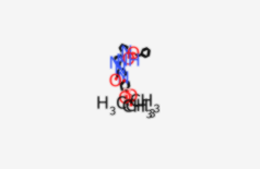 CC1(C)OB(c2ccc(N3CCN(c4ncc([C@@H]5CCCN5C(=O)OCc5ccccc5)[nH]4)CC3=O)cc2)OC1(C)C